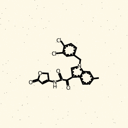 Cc1ccc2c(C(=O)C(=O)NC3=CC(=O)OC3)cn(Cc3ccc(Cl)c(Cl)c3)c2c1